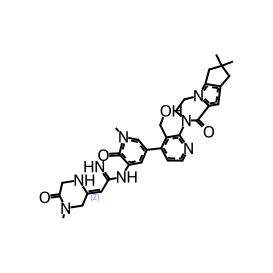 CN1C/C(=C/C(=N)Nc2cc(-c3ccnc(N4CCn5c(cc6c5CC(C)(C)C6)C4=O)c3CO)cn(C)c2=O)NCC1=O